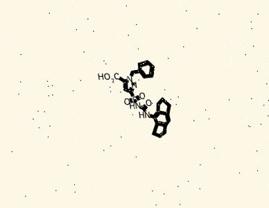 O=C(Nc1c2c(cc3c1CCC3)CCC2)NS(=O)(=O)c1cc(C(=O)O)n(Cc2ccccc2)n1